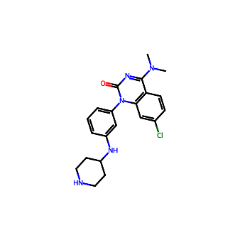 CN(C)c1nc(=O)n(-c2cccc(NC3CCNCC3)c2)c2cc(Cl)ccc12